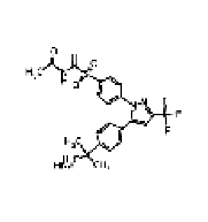 CC(=O)NNS(=O)(=O)c1ccc(-n2nc(C(F)(F)F)cc2-c2ccc(C(C)(C)C)cc2)cc1.[NaH]